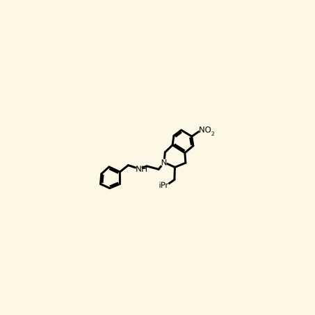 CC(C)CC1Cc2cc([N+](=O)[O-])ccc2CN1CCNCc1ccccc1